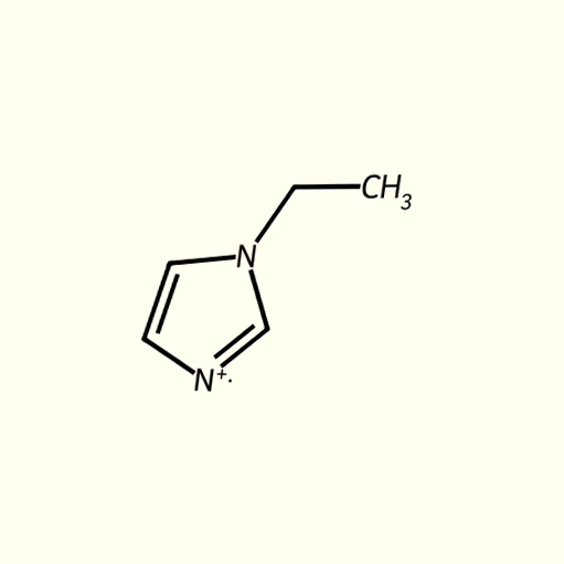 CCN1C=C[N+]=C1